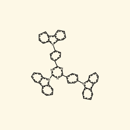 c1ccc2c(c1)c1ccccc1n2-c1ccc(-c2nc(-c3ccc(-n4c5ccccc5c5ccccc54)cc3)nc(-n3c4ccccc4c4ccccc43)n2)cc1